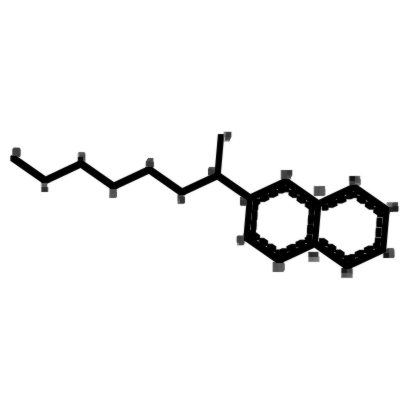 CCCCCCC(C)c1ccc2ccccc2c1